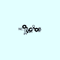 CC(C)C1NC2(CCN(C(=O)c3ccc4nonc4c3)CC2)N(Cc2cccc(C#N)c2)C1=O